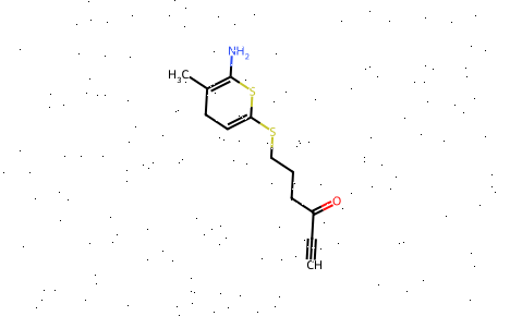 C#CC(=O)CCCSC1=CCC(C)=C(N)S1